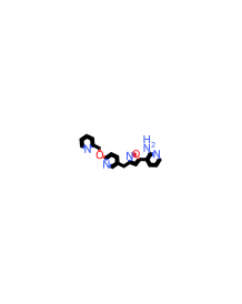 Nc1ncccc1-c1cc(Cc2ccc(OCc3ccccn3)nc2)no1